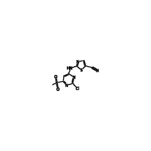 CS(=O)(=O)c1cc(Nc2ncc(C#N)s2)nc(Cl)n1